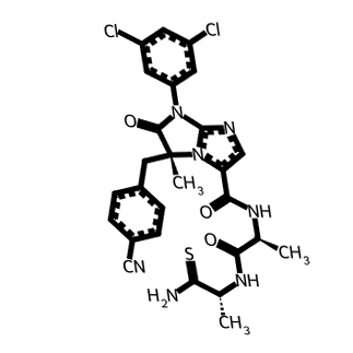 C[C@H](NC(=O)c1cnc2n1[C@](C)(Cc1ccc(C#N)cc1)C(=O)N2c1cc(Cl)cc(Cl)c1)C(=O)N[C@H](C)C(N)=S